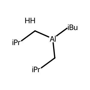 CC[CH](C)[Al]([CH2]C(C)C)[CH2]C(C)C.[HH]